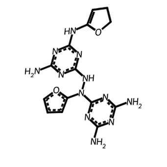 Nc1nc(NC2=CCCO2)nc(NN(c2nc(N)nc(N)n2)c2ccco2)n1